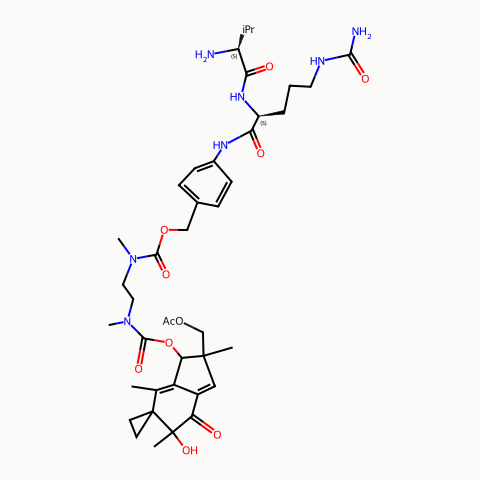 CC(=O)OCC1(C)C=C2C(=O)C(C)(O)C3(CC3)C(C)=C2C1OC(=O)N(C)CCN(C)C(=O)OCc1ccc(NC(=O)[C@H](CCCNC(N)=O)NC(=O)[C@@H](N)C(C)C)cc1